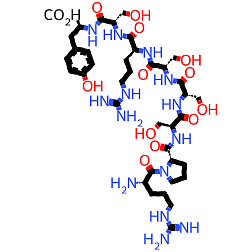 N=C(N)NCCC[C@H](NC(=O)[C@H](CO)NC(=O)[C@H](CO)NC(=O)[C@H](CO)NC(=O)[C@@H]1CCCN1C(=O)[C@@H](N)CCCNC(=N)N)C(=O)N[C@@H](CO)C(=O)N[C@@H](Cc1ccc(O)cc1)C(=O)O